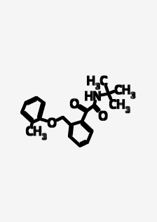 Cc1ccccc1OCc1ccccc1C(=O)C(=O)NC(C)(C)C